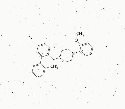 COc1ccccc1N1CCN(Cc2ccccc2-c2ccccc2C)CC1